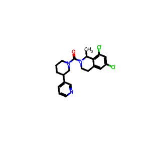 CC1c2c(Cl)cc(Cl)cc2CCN1C(=O)N1CCCC(c2cccnc2)C1